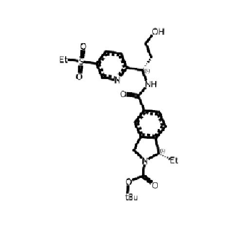 CC[C@H]1c2ccc(C(=O)N[C@@H](CCO)c3ccc(S(=O)(=O)CC)cn3)cc2CN1C(=O)OC(C)(C)C